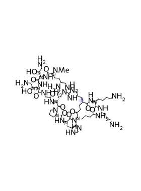 CN[C@@H](CCCCN)C(=O)N[C@H](C(=O)N[C@H](C(=O)NCC(=O)N[C@H](CCCN)C(=O)N1CCC[C@H]1C(=O)N[C@@H](Cc1cnc[nH]1)C(=O)N[C@@H](CCCCN)C(=O)CC/C(=C\CCNC(=N)N)C(=O)N[C@@H](CCCCN)C(=O)NCCCCN)[C@@H](O)CN)[C@@H](O)CN